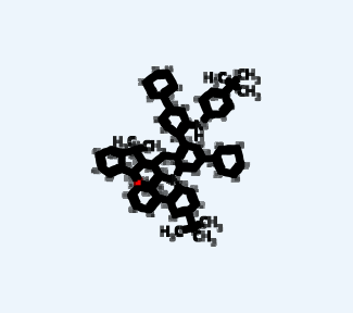 CC(C)(C)c1ccc(Nc2cc(-c3ccccc3)ccc2-c2cc(-c3ccccc3)cc3c2Cc2c(ccc4c2C(C)(C)c2ccccc2-4)N3c2ccc(C(C)(C)C)cc2-c2ccccc2)cc1